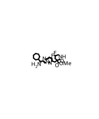 COC(=O)C1(Cc2ccc3nc([C@@H](N)C4CCCCCC4)cn3n2)CC(F)(F)CNC1=O